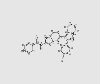 O=C(Nc1cn2nc(-c3c(-c4ccc(F)cc4)nn4ccccc34)ccc2n1)c1ccncc1